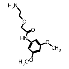 COc1cc(NC(=O)COCCN)cc(OC)c1